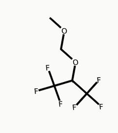 COCO[C](C(F)(F)F)C(F)(F)F